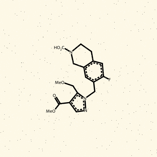 COCc1c(C(=O)OC)cnn1Cc1cc2c(cc1F)CCN(C(=O)O)C2